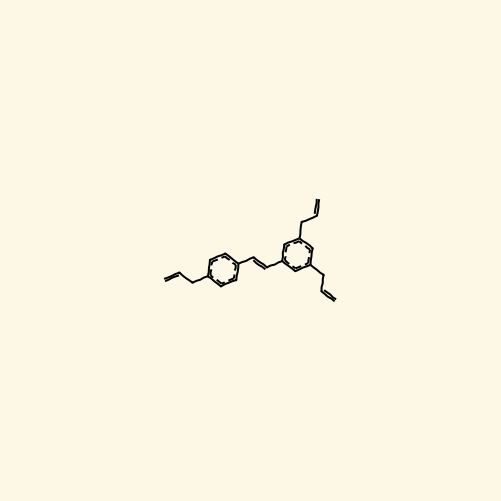 C=CCc1ccc(/C=C/c2cc(CC=C)cc(CC=C)c2)cc1